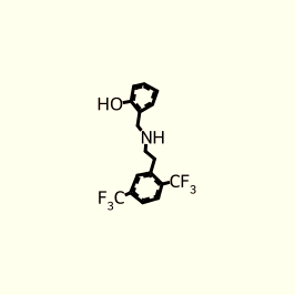 Oc1ccccc1CNCCc1cc(C(F)(F)F)ccc1C(F)(F)F